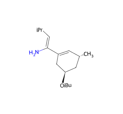 CC(C)/C=C(\N)C1=C[C@H](C)C[C@@H](OCC(C)C)C1